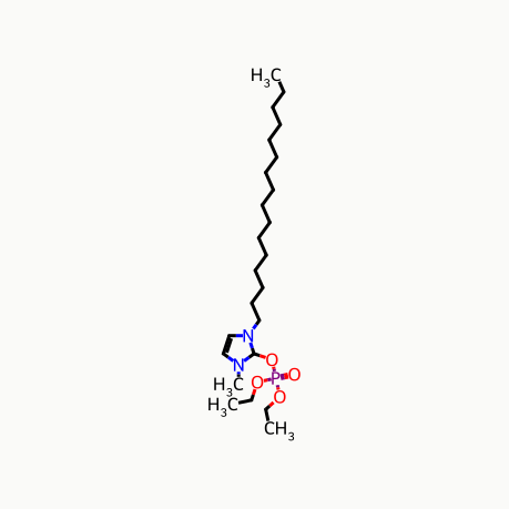 CCCCCCCCCCCCCCCCN1C=CN(C)C1OP(=O)(OCC)OCC